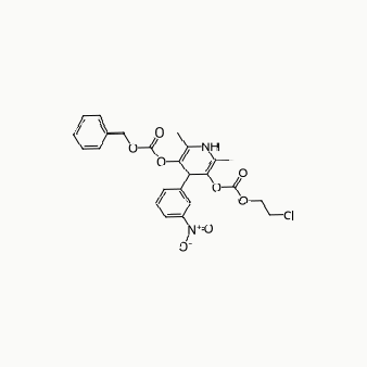 CC1=C(OC(=O)OCCCl)C(c2cccc([N+](=O)[O-])c2)C(OC(=O)OCc2ccccc2)=C(C)N1